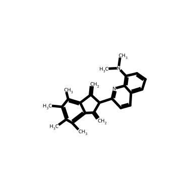 C=C1c2c(C)c(C)c(C)c(C)c2C(=C)C1c1ccc2cccc(N(C)C)c2n1